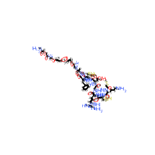 CSCC(=O)N[C@@H](CCCCN)C(=O)N[C@@H](CS)C(=O)N[C@@H](CCCNC(=N)N)C(=O)NCC(=O)N[C@@H](CC(=O)O)C(=O)N[C@@H](CS)C(=O)N[C@@H](Cc1ccccc1)C(=O)NC(C)C(=O)NCCOCCOCCOCCNC(=O)COCC(N)=O